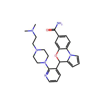 CN(C)CCN1CCN(c2ncccc2C2Oc3cc(C(N)=O)ccc3-n3cccc32)CC1